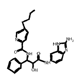 CCCCc1ccc(C(=O)NC(c2ccccc2)C(O)C(=O)Nc2ccc3nc(N)[nH]c3c2)nc1